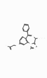 CNC1N=C(c2ccccc2)c2ccc(OCC(N)=O)cc2-n2c(C)nnc21